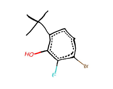 CC(C)(C)c1ccc(Br)c(F)c1O